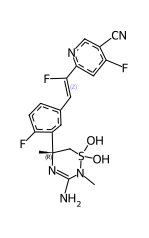 CN1C(N)=N[C@](C)(c2cc(/C=C(\F)c3cc(F)c(C#N)cn3)ccc2F)CS1(O)O